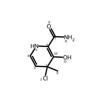 CC1(Cl)C=CNC(C(N)=O)=C1O